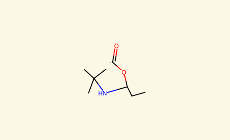 CCC(NC(C)(C)C)O[C]=O